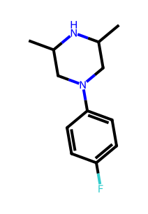 CC1CN(c2ccc(F)cc2)CC(C)N1